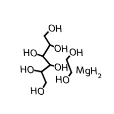 OCC(O)C(O)C(O)C(O)CO.OCCO.[MgH2]